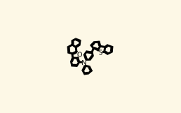 c1ccc(N(c2ccc(-c3cccc4c3sc3ccccc34)cc2)c2cccc3c2oc2c4ccccc4ccc32)cc1